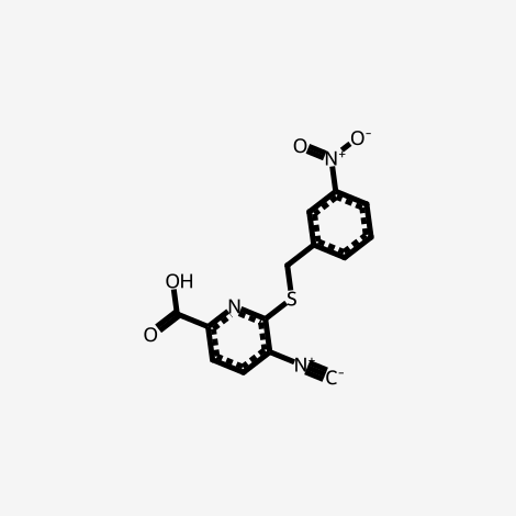 [C-]#[N+]c1ccc(C(=O)O)nc1SCc1cccc([N+](=O)[O-])c1